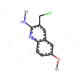 CCNc1nc2ccc(OCC)cc2cc1CCl